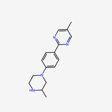 Cc1cnc(-c2ccc(N3CCNC(C)C3)cc2)nc1